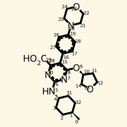 C[C@H]1CC[C@H](Nc2nc(O[C@H]3CCOC3)c(-c3ccc(N4CCOCC4)cc3)c(C(=O)O)n2)CC1